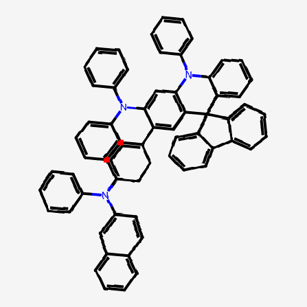 c1cccc(N(c2ccccc2)c2cc3c(cc2C2=CC=C(N(c4ccccc4)c4ccc5ccccc5c4)CC2)C2(c4ccccc4-c4ccccc42)c2ccccc2N3c2ccccc2)c#1